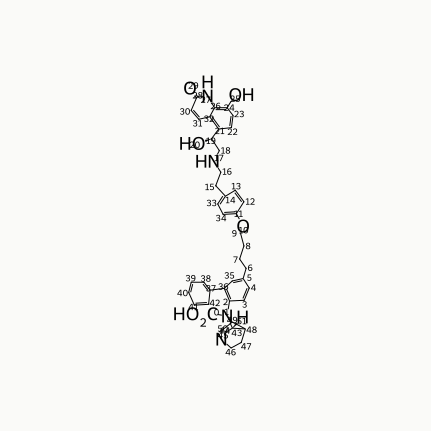 O=C(O)N(c1ccc(CCCCOc2ccc(CCNC[C@@H](O)c3ccc(O)c4[nH]c(=O)ccc34)cc2)cc1-c1ccccc1)[C@H]1CN2CCC1CC2